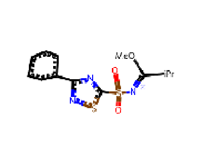 CO/C(=N\S(=O)(=O)c1nc(-c2ccccc2)ns1)C(C)C